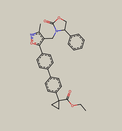 CCOC(=O)C1(c2ccc(-c3ccc(-c4onc(C)c4CN4C(=O)OCC4c4ccccc4)cc3)cc2)CC1